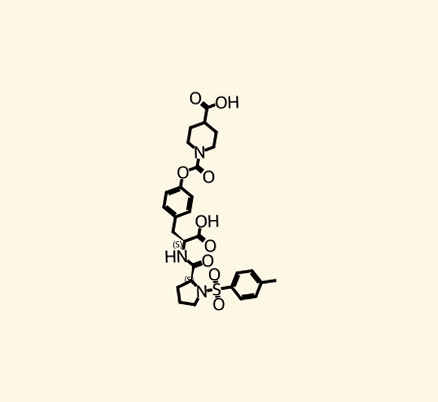 Cc1ccc(S(=O)(=O)N2CCC[C@H]2C(=O)N[C@@H](Cc2ccc(OC(=O)N3CCC(C(=O)O)CC3)cc2)C(=O)O)cc1